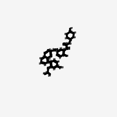 Cc1ccc(Nc2ncc3cccc(-c4ccc(F)cc4OC(C)C)c3n2)cc1NC(=O)CN1CCN(C)CC1